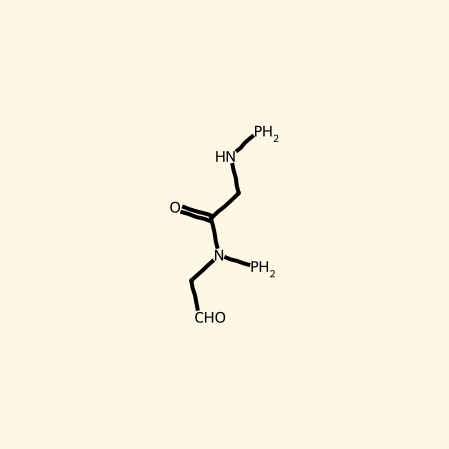 O=CCN(P)C(=O)CNP